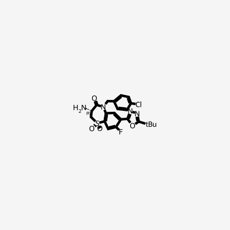 CC(C)(C)c1nnc(-c2cc3c(cc2F)S(=O)(=O)C[C@H](N)C(=O)N3Cc2ccc(Cl)cc2)o1